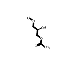 CC(=O)OC[C@H](O)COCl